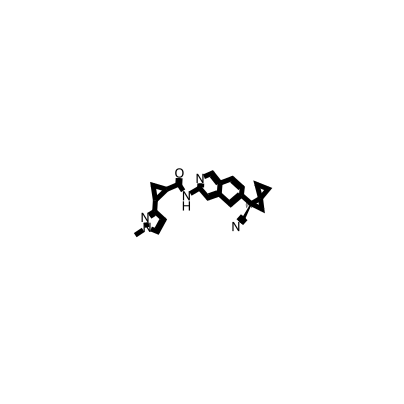 Cn1ccc(C2CC2C(=O)Nc2cc3cc([C@@]4(C#N)CC45CC5)ccc3cn2)n1